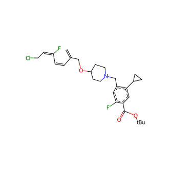 C=C(/C=C\C(F)=C/CCl)COC1CCN(Cc2cc(F)c(C(=O)OC(C)(C)C)cc2C2CC2)CC1